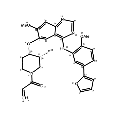 C=CC(=O)N1CC[C@H](Oc2cc3c(Nc4cc(-c5ccco5)ccc4OC)ncnc3cc2OC)[C@H](F)C1